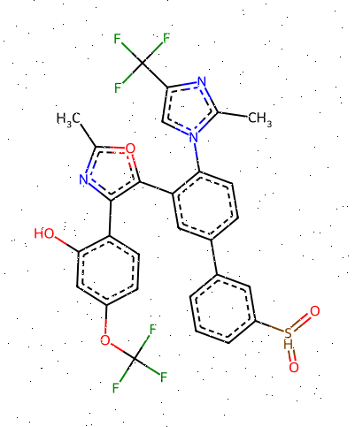 Cc1nc(-c2ccc(OC(F)(F)F)cc2O)c(-c2cc(-c3cccc([SH](=O)=O)c3)ccc2-n2cc(C(F)(F)F)nc2C)o1